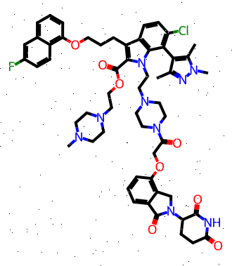 Cc1nn(C)c(C)c1-c1c(Cl)ccc2c(CCCOc3cccc4cc(F)ccc34)c(C(=O)OCCN3CCN(C)CC3)n(CCN3CCN(C(=O)COc4cccc5c4CN(C4CCC(=O)NC4=O)C5=O)CC3)c12